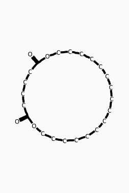 O=C1CCCCC(=O)OCCCCCCCCCCCCCCCCO1